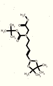 COC(=O)CN(CC/C=C/B1OC(C)(C)C(C)(C)O1)C(=O)OC(C)(C)C